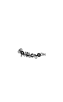 Cc1c(Oc2ccc(S(C)(=O)=O)cc2F)ncnc1OC1CCN(CC(=O)c2ccc(O)cc2)CC1